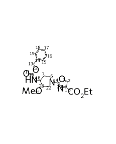 CCOC(=O)c1coc(N2CCC(NC(=O)OCc3ccccc3)C(OC)C2)n1